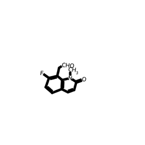 Cn1c(=O)ccc2ccc(F)c(CC=O)c21